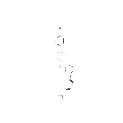 CC(=O)c1ccc(-c2cccc(C(=O)N3CCN(c4ccc(C#N)cn4)CC3C)c2)s1